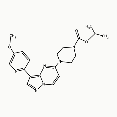 COc1ccc(-c2cnn3ccc(N4CCN(C(=O)OC(C)C)CC4)nc23)nc1